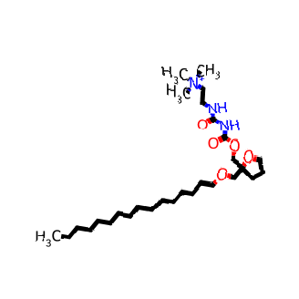 CCCCCCCCCCCCCCCCOCC1(COC(=O)NC(=O)NCC[N+](C)(C)C)CCCO1